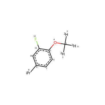 [2H]C([2H])([2H])Oc1ccc(C(C)C)cc1F